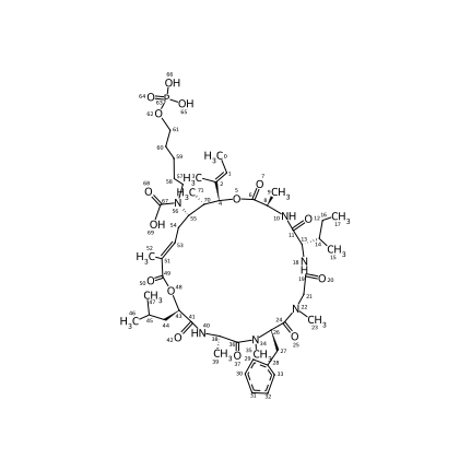 C/C=C(\C)[C@H]1OC(=O)[C@@H](C)NC(=O)[C@H](C(C)CC)NC(=O)CN(C)C(=O)[C@@H](Cc2ccccc2)N(C)C(=O)[C@H](C)NC(=O)[C@@H](CC(C)C)OC(=O)/C(C)=C/C[C@H](N(CCCCCOP(=O)(O)O)C(=O)O)[C@@H]1C